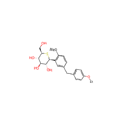 CCOc1ccc(Cc2ccc(OC)c([C@@H]3S[C@H](CO)[C@@H](O)[C@H](O)[C@H]3O)c2)cc1